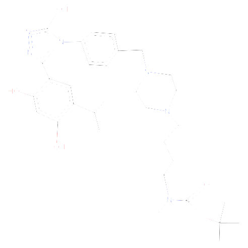 CC(C)c1cc(-c2nnc(O)n2-c2ccc(CN3CCN(CCCCN(C)C(=O)OC(C)(C)C)CC3)cc2)c(O)cc1O